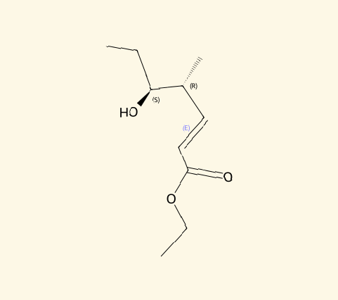 CCOC(=O)/C=C/[C@@H](C)[C@@H](O)CC